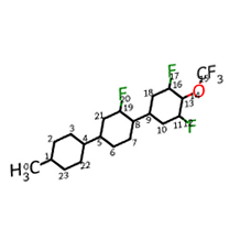 CC1CCC(C2CCC(C3CC(F)C(OC(F)(F)F)C(F)C3)C(F)C2)CC1